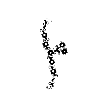 C=CC(=O)OCCOC(=O)C1CCC(C(=O)OC2CCC(C(=O)Oc3ccc(OC(=O)C4CCC(OC(=O)C5CCC(C(=O)OCCOC(=O)C=C)CC5)CC4)c4c3SC(=C3C(=O)N(c5ccccc5)N(c5ccccc5)C3=O)S4)CC2)CC1